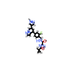 Cn1cc(-c2cc(-c3ccc(CNC(=O)c4noc(C5(C)CC5)n4)c(F)c3)c3ccnn3c2)cn1